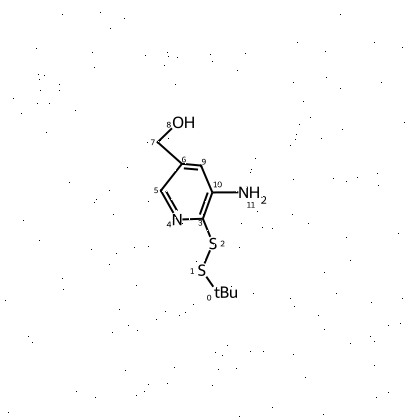 CC(C)(C)SSc1ncc(CO)cc1N